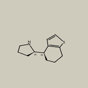 c1cc2c(s1)CCC[C@H]2[C@H]1CCCN1